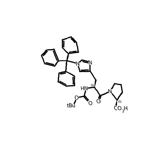 CC(C)(C)OC(=O)N[C@@H](Cc1cn(C(c2ccccc2)(c2ccccc2)c2ccccc2)cn1)C(=O)N1CCC[C@H]1C(=O)O